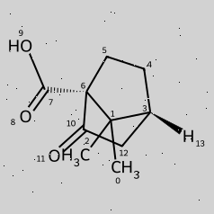 CC1(C)[C@@H]2CC[C@]1(C(=O)O)C(=O)C2